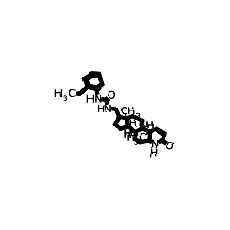 CCc1ccccc1NC(=O)NCC1CC[C@H]2[C@@H]3CCC4NC(=O)C=C[C@]4(C)[C@@H]3CC[C@]12C